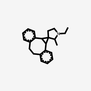 CCN1CCC2(C3c4ccccc4CCc4ccccc4C32)C1C